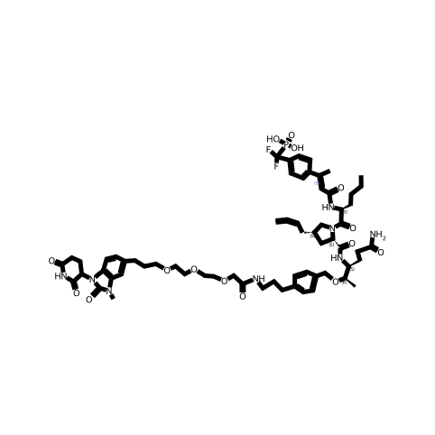 C=C=CC[C@H]1C[C@@H](C(=O)N[C@@H](CCC(N)=O)[C@@H](C)OCc2ccc(CCCNC(=O)COCCOCCOCCCc3ccc4c(c3)n(C)c(=O)n4C3CCC(=O)NC3=O)cc2)N(C(=O)[C@H](CCCC)NC(=O)/C=C(\C)c2ccc(C(F)(F)P(=O)(O)O)cc2)C1